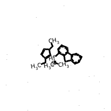 CCC1=[C]([Hf]([c]2cccc3c2Cc2ccccc2-3)=[Si](C)C)C(CC)C=C1